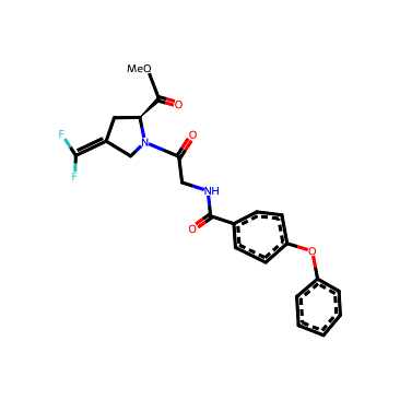 COC(=O)[C@@H]1CC(=C(F)F)CN1C(=O)CNC(=O)c1ccc(Oc2ccccc2)cc1